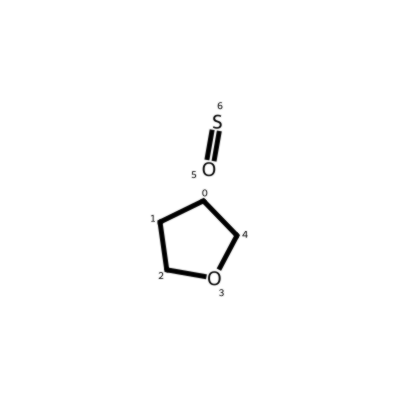 C1CCOC1.O=S